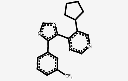 FC(F)(F)c1cccc(-c2ncsc2-c2n[c]ncc2C2CCCC2)c1